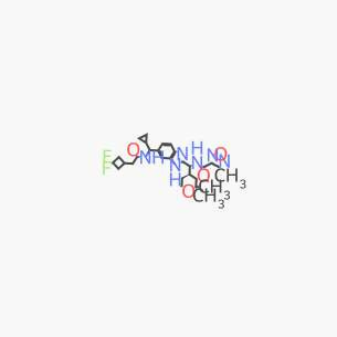 Cc1nonc1C(=O)N[C@H](c1nc2ccc(C(NC(=O)CC3CC(F)(F)C3)C3CC3)cc2[nH]1)[C@@H]1CCOC(C)(C)C1